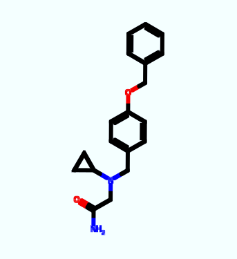 NC(=O)CN(Cc1ccc(OCc2ccccc2)cc1)C1CC1